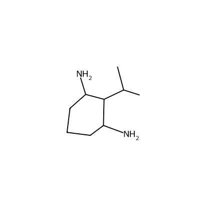 CC(C)C1C(N)CCCC1N